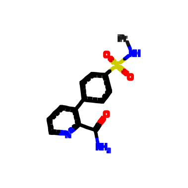 CC(C)NS(=O)(=O)c1ccc(-c2cccnc2C(N)=O)cc1